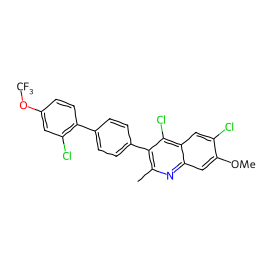 COc1cc2nc(C)c(-c3ccc(-c4ccc(OC(F)(F)F)cc4Cl)cc3)c(Cl)c2cc1Cl